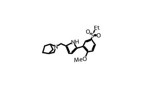 CCS(=O)(=O)c1ccc(OC)c(-c2ccc(CN3CC4CCC3C4)[nH]2)c1